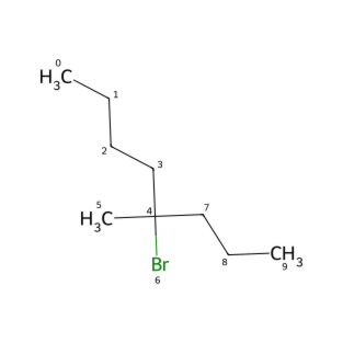 CCCCC(C)(Br)CCC